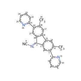 N#CN=C1c2cc(-c3ccccn3)c(C(F)(F)F)cc2-c2cc(C(F)(F)F)c(-c3ccccn3)cc21